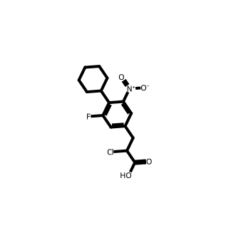 O=C(O)C(Cl)Cc1cc(F)c(C2CCCCC2)c([N+](=O)[O-])c1